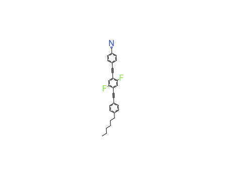 CCCCCCc1ccc(C#Cc2cc(F)c(C#Cc3ccc(C#N)cc3)cc2F)cc1